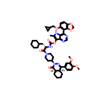 COc1ccc(C2=NN(C3CCN(C(=O)[C@H](CC4CCCCC4)NC(=O)Oc4c(C)[nH]c5c(-c6c(OCC7CC7)ccc7c6OCO7)ncnc45)CC3)C(=O)[C@@H]3CCCC[C@H]23)cc1OC